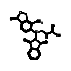 Cc1c([C@H](CNC(=O)O)N2C(=O)c3ccccc3C2=O)ccc2c1COC2=O